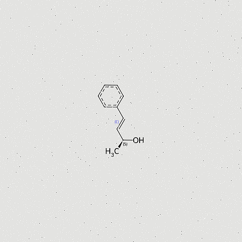 C[C@H](O)/C=C/c1ccccc1